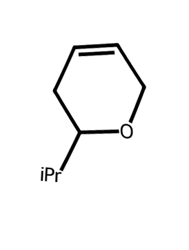 CC(C)C1CC=CCO1